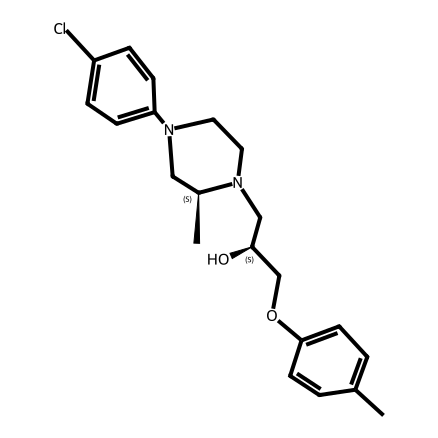 Cc1ccc(OC[C@@H](O)CN2CCN(c3ccc(Cl)cc3)C[C@@H]2C)cc1